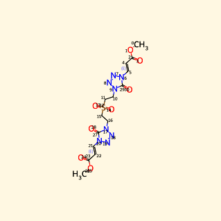 COC(=O)/C=C/n1nnn(CCS(=O)(=O)CCn2nnn(/C=C/C(=O)OC)c2=O)c1=O